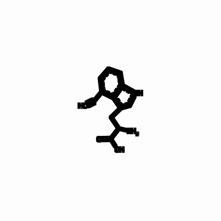 C#Cc1cccc2[nH]cc(CC(N)C(=O)O)c12